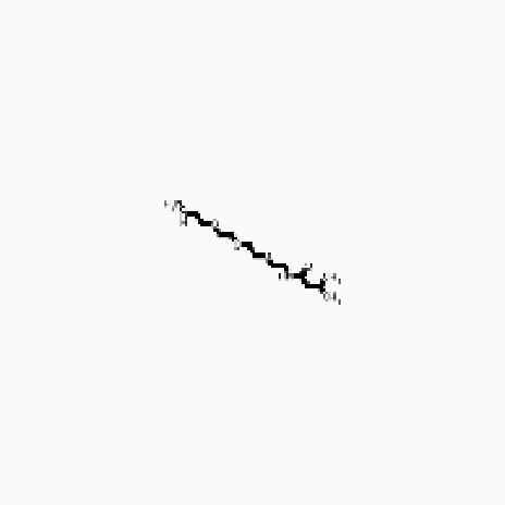 CC(C)CC(=O)NCCOCCOCCOCCNN